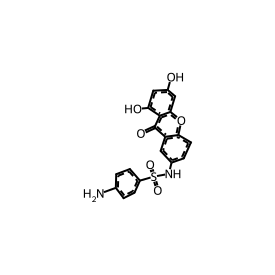 Nc1ccc(S(=O)(=O)Nc2ccc3oc4cc(O)cc(O)c4c(=O)c3c2)cc1